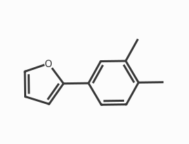 Cc1ccc(-c2ccco2)cc1C